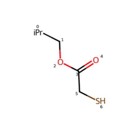 CC(C)COC(=O)CS